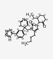 CCCCc1cn(C2C(=O)CCCC2CC)c(=O)n1CC1(c2cccc(-c3nnn[nH]3)c2)C=CN=CC1